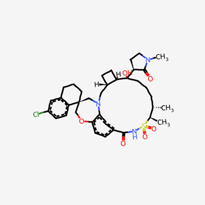 C[C@@H]1[C@@H](C)CCC[C@@](O)([C@H]2CCN(C)C2=O)[C@@H]2CC[C@H]2CN2C[C@@]3(CCCc4cc(Cl)ccc43)COc3ccc(cc32)C(=O)NS1(=O)=O